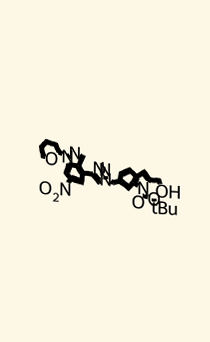 CC(C)(C)OC(=O)n1c(CO)cc2ccc(Cn3cc(-c4cc([N+](=O)[O-])cc5c4cnn5C4CCCCO4)nn3)cc21